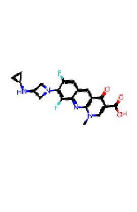 Cn1cc(C(=O)O)c(=O)c2cc3cc(F)c(N4CC(NC5CC5)C4)c(F)c3nc21